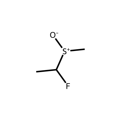 CC(F)[S+](C)[O-]